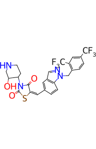 O=C1SC(=Cc2ccc3c(cnn3Cc3ccc(C(F)(F)F)cc3C(F)(F)F)c2)C(=O)N1C1CCNCC1O